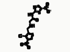 O=C(CNCc1scc([N+](=O)[O-])c1Cl)Nc1ncc([N+](=O)[O-])s1